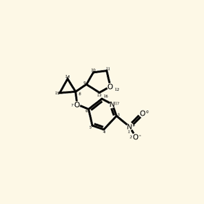 O=[N+]([O-])c1ccc(OC2(C3CCOC3)CC2)cn1